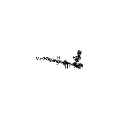 COCCOCCOCCOCCC(=O)NCCCCC(N)C(=O)NCCCCCCN1N=C(c2ccc(NC(=O)N3Cc4ccncc4C3)cc2)CC(c2cccc3ncccc23)C1=O